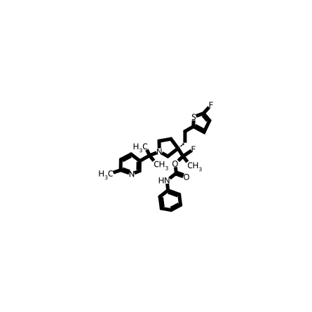 Cc1ccc(C(C)(C)N2CC[C@@](CCc3ccc(F)s3)(C(C)(F)OC(=O)Nc3ccccc3)C2)cn1